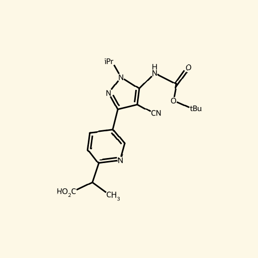 CC(C(=O)O)c1ccc(-c2nn(C(C)C)c(NC(=O)OC(C)(C)C)c2C#N)cn1